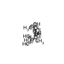 C#CCC(O)(C=C[C@@H](C)[C@H]1CC[C@H]2[C@@H]3CCc4cc(O)c(OC)cc4[C@H]3CC[C@]12C)CC#C